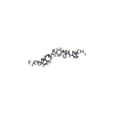 Cc1nc(/C=C/C(=O)N[C@H]2CC[C@](F)(CCN3CCc4ccc(OCC(F)(F)F)nc4CC3)CC2)cs1